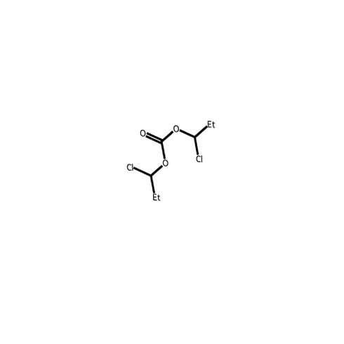 CCC(Cl)OC(=O)OC(Cl)CC